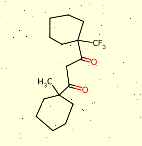 CC1(C(=O)CC(=O)C2(C(F)(F)F)CCCCC2)CCCCC1